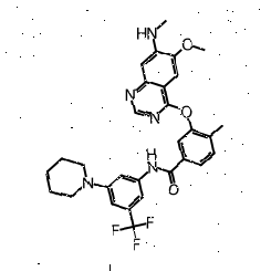 CNc1cc2ncnc(Oc3cc(C(=O)Nc4cc(N5CCCCC5)cc(C(F)(F)F)c4)ccc3C)c2cc1OC